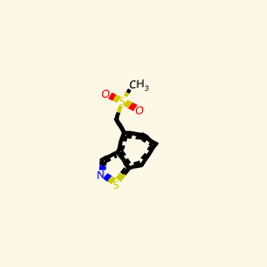 CS(=O)(=O)Cc1cccc2sncc12